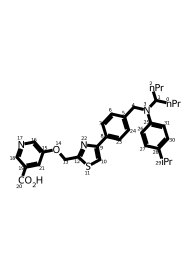 CCCC(CCC)N(Cc1ccc(-c2csc(COc3cncc(C(=O)O)c3)n2)cc1)c1ccc(C(C)C)cc1